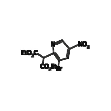 CCOC(=O)C(C(=O)OCC)c1ncc([N+](=O)[O-])cc1Br